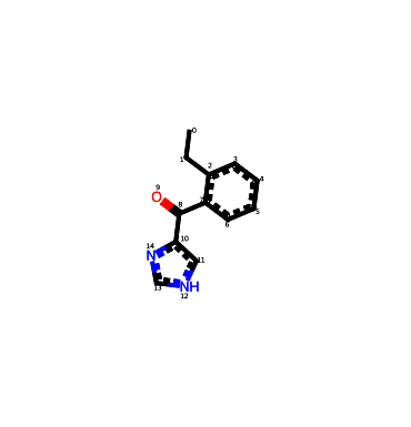 CCc1ccccc1C(=O)c1c[nH]cn1